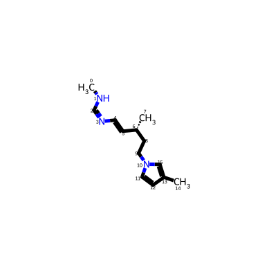 CN/C=N\C=C\[C@H](C)CCn1ccc(C)c1